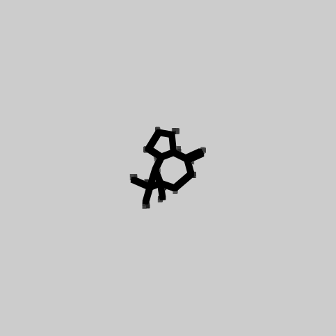 C=C1CCC2(C)C(C3CCCC13)C2(C)C